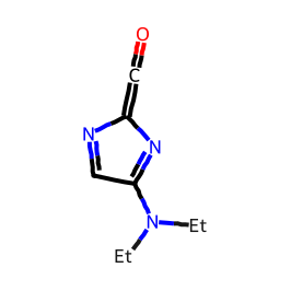 CCN(CC)C1=NC(=C=O)N=C1